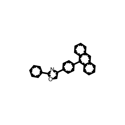 c1ccc(-c2nc(-c3ccc(-c4c5ccccc5cc5ccccc45)cc3)co2)cc1